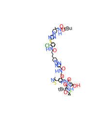 Cc1ncsc1-c1ccc(CNC(=O)[C@@H]2C[C@@H](O)CN2C(=O)[C@@H](NC(=O)C2(F)CC2)C(C)(C)C)c(OCCNC(=O)c2cnc(N3CCC(CCCC(=O)Nc4cccc(Sc5cnc(N6CCC(C)(CNC(=O)OC(C)(C)C)CC6)cn5)c4Cl)CC3)nc2)c1